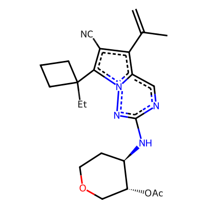 C=C(C)c1c(C#N)c(C2(CC)CCC2)n2nc(N[C@@H]3CCOC[C@H]3OC(C)=O)ncc12